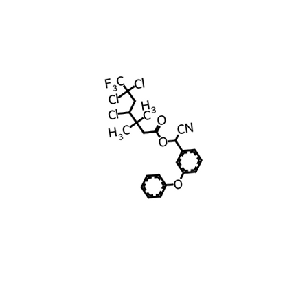 CC(C)(CC(=O)OC(C#N)c1cccc(Oc2ccccc2)c1)C(Cl)CC(Cl)(Cl)C(F)(F)F